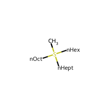 CCCCCCCCS(C)(CCCCCC)CCCCCCC